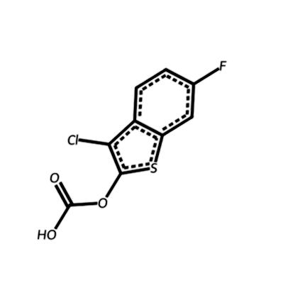 O=C(O)Oc1sc2cc(F)ccc2c1Cl